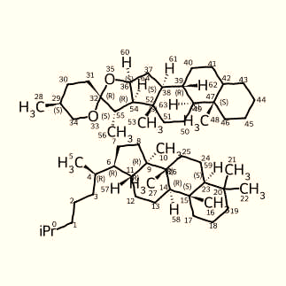 CC(C)CCC[C@@H](C)[C@H]1CC[C@]2(C)[C@@H]1CC[C@@H]1[C@@]3(C)CCCC(C)(C)[C@@H]3CC[C@]12C.C[C@H]1CC[C@@]2(OC1)O[C@H]1C[C@H]3[C@@H]4CCC5CCCC[C@]5(C)[C@H]4CC[C@]3(C)[C@H]1[C@@H]2C